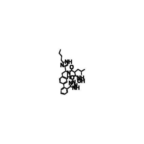 CCCCc1nc(C(Cc2ccc(-c3ccccc3-c3nnn[nH]3)cc2)NC(=O)C(CC(C)C)C(=O)NO)c[nH]1